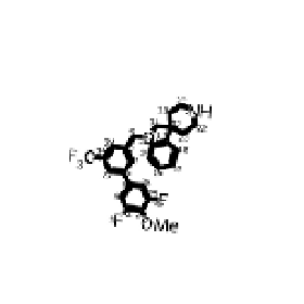 COc1c(F)cc(-c2cc(COCC3(c4ccccc4)CCNCC3)cc(C(F)(F)F)c2)cc1F